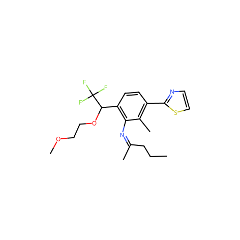 CCC/C(C)=N\c1c(C(OCCOC)C(F)(F)F)ccc(-c2nccs2)c1C